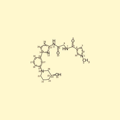 Cn1ccc(C(=O)NCC(=O)Nc2nc(-c3cccc(N4CCC[C@H](O)C4)c3)cs2)c1